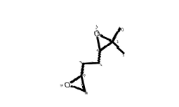 CC1(C)OC1CCC1CO1